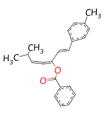 Cc1ccc(C=CC(=C=CC(C)C)OC(=O)c2ccccc2)cc1